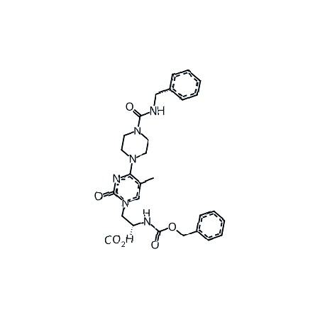 Cc1cn(C[C@H](NC(=O)OCc2ccccc2)C(=O)O)c(=O)nc1N1CCN(C(=O)NCc2ccccc2)CC1